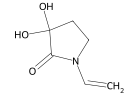 C=CN1CCC(O)(O)C1=O